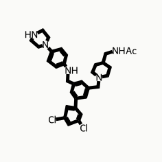 CC(=O)NCC1CCN(Cc2cc(CNc3ccc(N4CCNCC4)cc3)cc(-c3cc(Cl)cc(Cl)c3)c2)CC1